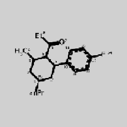 CCC[C@H]1CC(C)C(C(=O)CC)C(c2ccc(F)cc2)C1